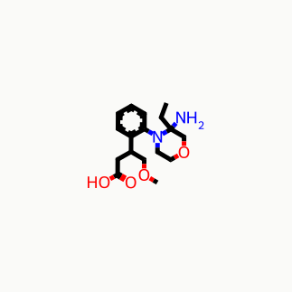 CCC1(N)COCCN1c1ccccc1C(COC)CC(=O)O